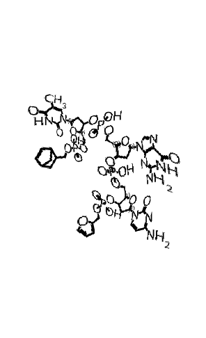 Cc1cn([C@H]2CC(OP(=O)(O)OC[C@H]3O[C@@H](n4cnc5c(=O)[nH]c(N)nc54)CC3OP(=O)(O)OC[C@H]3O[C@@H](n4ccc(N)nc4=O)CC3OP(=O)(O)OCc3ccco3)[C@@H](COP(=O)(O)OCC3CC4C=CC3C4)O2)c(=O)[nH]c1=O